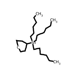 CCCCC[CH2][Sn]([CH2]CCCCC)([CH2]CCCCC)[CH]1CCCCC1